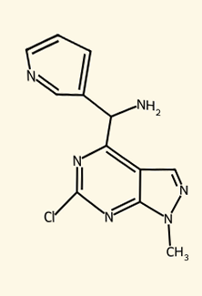 Cn1ncc2c(C(N)c3cccnc3)nc(Cl)nc21